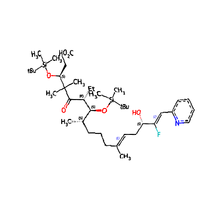 CC[C@@H](C(=O)C(C)(C)[C@H](CC(=O)O)O[Si](C)(C)C(C)(C)C)[C@@H](O[Si](C)(C)C(C)(C)C)[C@@H](C)CCC/C(C)=C/C[C@H](O)/C(F)=C/c1ccccn1